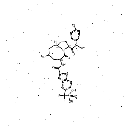 CC(=O)N1CC[C@H]2CC[C@@H](C(=O)N(c3ccc(Cl)cc3)C(C)C)N2C(=O)[C@@H](NC(=O)c2cc3cc(C(F)(F)P(=O)(O)O)ccc3s2)C1